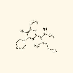 C=Cc1nc(N(C(C)=N)/C(C)=C/CC)nc(N2CCOCC2)c1S